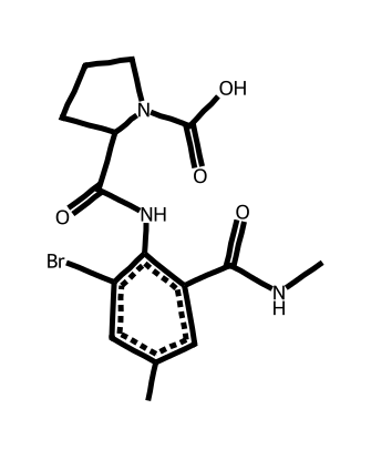 CNC(=O)c1cc(C)cc(Br)c1NC(=O)C1CCCN1C(=O)O